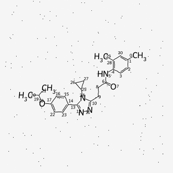 Cc1ccc(NC(=O)CCc2nnc(-c3ccc(OC(C)C)cc3)n2C2CC2)c(C)c1